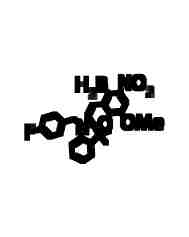 Bc1c([N+](=O)[O-])cc(OC)c2c1C=CC1(O2)N(Cc2ccc(F)cc2)c2ccccc2C1(C)C